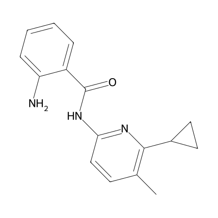 Cc1ccc(NC(=O)c2ccccc2N)nc1C1CC1